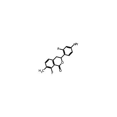 CCCc1ccc(C2Cc3ccc(C)c(F)c3C(=O)O2)c(F)c1